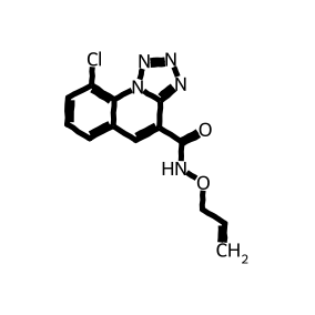 C=CCONC(=O)c1cc2cccc(Cl)c2n2nnnc12